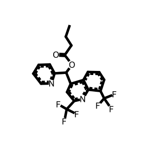 CCCC(=O)OC(c1ccccn1)c1cc(C(F)(F)F)nc2c(C(F)(F)F)cccc12